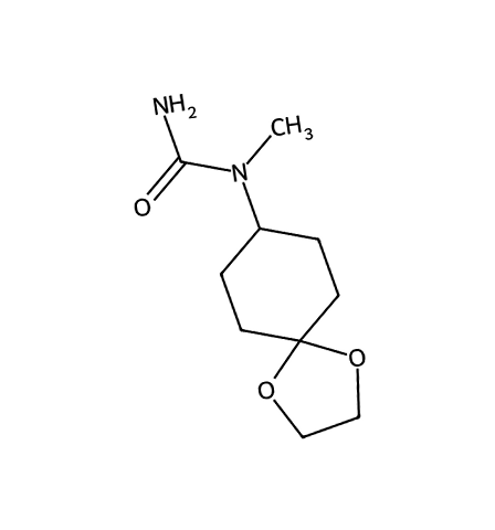 CN(C(N)=O)C1CCC2(CC1)OCCO2